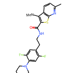 CNc1c(C(=O)NCCc2cc(F)c(N3CCNCC3)cc2F)sc2nc(C)ccc12